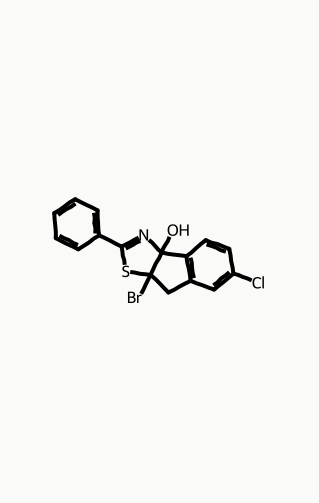 OC12N=C(c3ccccc3)SC1(Br)Cc1cc(Cl)ccc12